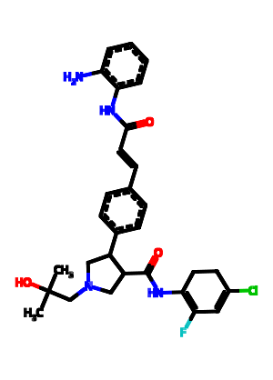 CC(C)(O)CN1CC(C(=O)NC2=C(F)C=C(Cl)CC2)C(c2ccc(/C=C/C(=O)Nc3ccccc3N)cc2)C1